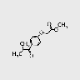 COC(=O)COc1ccc(C(=O)C(C)C)cc1